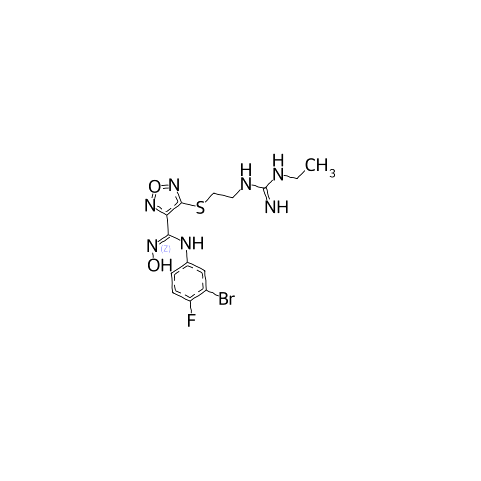 CCNC(=N)NCCSc1nonc1/C(=N/O)Nc1ccc(F)c(Br)c1